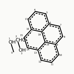 CO.O=CO.c1cc2ccc3cccc4ccc(c1)c2c34